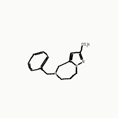 O=C(O)c1cc2n(n1)CCCN(Cc1ccccc1)C2